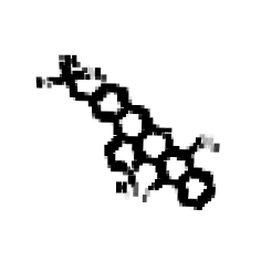 Cc1c2c(c(C)c3ccccc13)-c1c3c(cc4ccc(CC(C)(C)C#N)cc4c3cc[n+]1C)O2